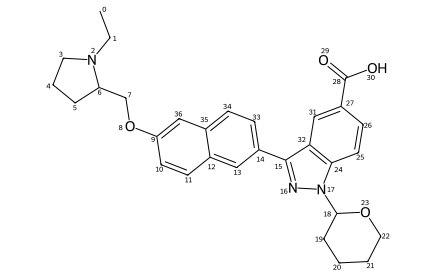 CCN1CCCC1COc1ccc2cc(-c3nn(C4CCCCO4)c4ccc(C(=O)O)cc34)ccc2c1